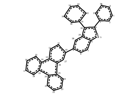 c1ccc(-c2sc3ccc(-c4ccc5c6ccccc6c6ccccc6c5c4)cc3c2-c2ccccc2)cc1